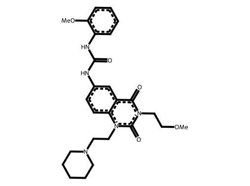 COCCn1c(=O)c2cc(NC(=O)Nc3ccccc3OC)ccc2n(CCN2CCCCC2)c1=O